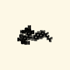 CC(C)CCCC(C)C1CCC2C3CCC4C[C@@H](CCC=C(c5cc(Cl)c(O)c(C(=O)O)c5)c5cc(Cl)c(O)c(C(=O)O)c5)CC[C@]4(C)C3CC[C@]12C